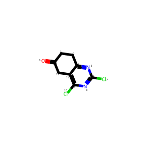 O=C1CCc2nc(Cl)nc(Cl)c2C1